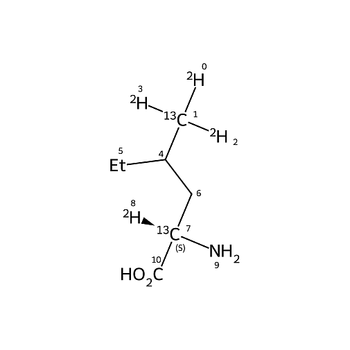 [2H][13C]([2H])([2H])C(CC)C[13C@]([2H])(N)C(=O)O